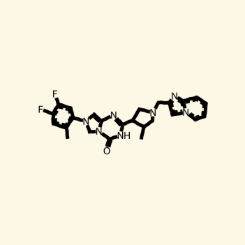 Cc1cc(F)c(F)cc1N1C=C2N=C(C3CN(Cc4cn5ccccc5n4)CC3C)NC(=O)N2C1